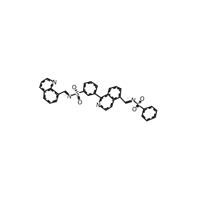 O=S(=O)(/N=C/c1cccc2c(-c3cccc(S(=O)(=O)/N=C/c4cccc5cccnc45)c3)nccc12)c1ccccc1